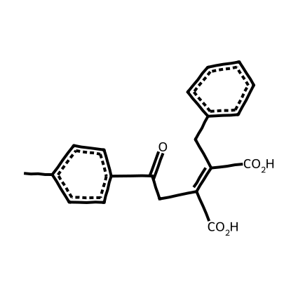 Cc1ccc(C(=O)CC(C(=O)O)=C(Cc2ccccc2)C(=O)O)cc1